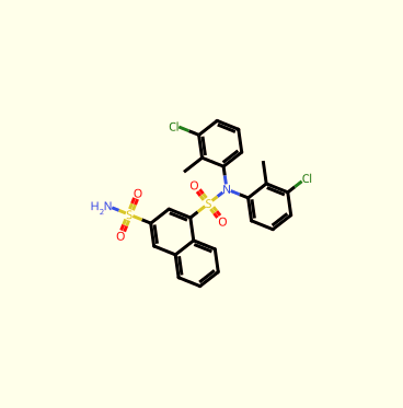 Cc1c(Cl)cccc1N(c1cccc(Cl)c1C)S(=O)(=O)c1cc(S(N)(=O)=O)cc2ccccc12